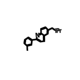 Cc1cccc(-c2ccc3cc(CC(C)C)ccc3n2)c1